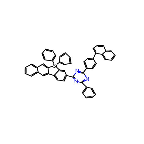 c1ccc(-c2nc(-c3ccc(-c4cccc5ccccc45)cc3)nc(-c3ccc4c(c3)[Si](c3ccccc3)(c3ccccc3)c3cc5ccccc5cc3-4)n2)cc1